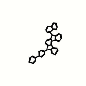 c1ccc(-c2ccc(-n3c4ccccc4c4c5c6ccccc6n(-c6cccc7ccccc67)c5ccc43)cc2)cc1